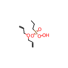 C=CCOCC=C.CCCS(=O)(=O)OO